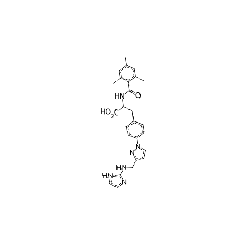 Cc1cc(C)c(C(=O)NC(Cc2ccc(-n3ccc(CNc4ncc[nH]4)n3)cc2)C(=O)O)c(C)c1